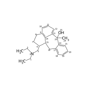 CCN(CC)CC1CCc2cccc3c2C1Cc1ccccc1C3(C)O